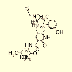 Cc1ccc(O)cc1[C@@]12Cc3[nH]c(=O)c(C(=O)N[C@@H](CC(C)C)C(N)=O)cc3C[C@H]1[C@H]1C(CN1CC1CC1)C2